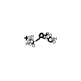 CC(C)(C)OC(=O)N[C@H](CCCc1cccc2c1CN(C1CCC(=O)NC1=O)C2=O)C(=O)O